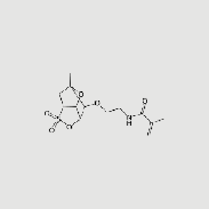 C=C(C)C(=O)NCCOC1C2OS(=O)(=O)C3CC1(C)OC23